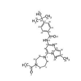 CC(=O)N1CCCN(c2cc(NC(=O)c3ccc(C(C)(C)O)cc3)nc3cc(C)nn23)CC1